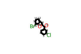 O=C(c1cccc(Cl)c1)c1cc2cccc(Br)c2o1